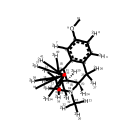 [2H]c1c([2H])c2c(c([2H])c1OC)[C@@]13C([2H])([2H])C([2H])([2H])N(C([2H])([2H])[2H])[C@@]([2H])(C2([2H])[2H])[C@@]1([2H])C([2H])([2H])C([2H])(C)C([2H])([2H])C3([2H])[2H]